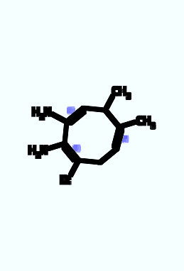 CC/C1=C(N)/C(N)=C\C(C)/C(C)=C\C1